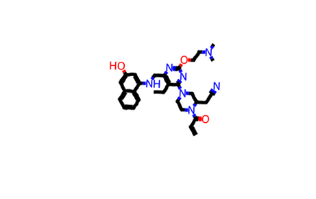 C=CC(=O)N1CCN(c2nc(OCCN(C)C)nc(CNc3cc(O)cc4ccccc34)c2CC)CC1CC#N